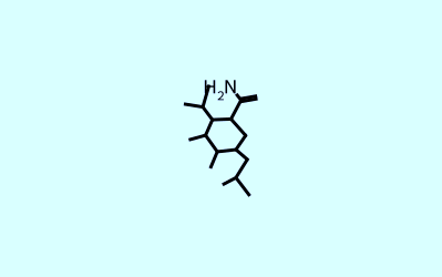 C=C(N)C1CC(CC(C)C)C(C)C(C)C1C(C)C